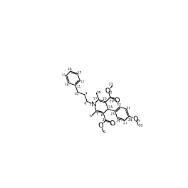 COC(=O)C1=C(C)N(CCCc2ccccc2)C(C)=C(C(=O)OC)C1c1ccc(OC)cc1